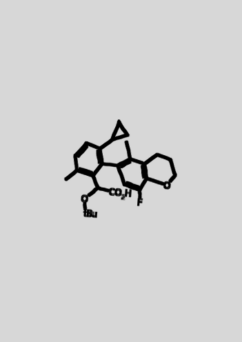 Cc1ccc(C2CC2)c(-c2cc(F)c3c(c2C)CCCO3)c1C(OC(C)(C)C)C(=O)O